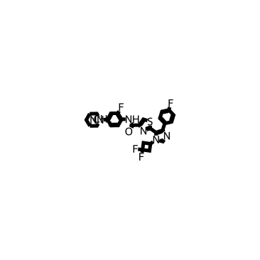 CN1C2CC1CN(c1ccc(NC(=O)c3csc(-c4c(-c5ccc(F)cc5)ncn4C4CC(F)(F)C4)n3)c(F)c1)C2